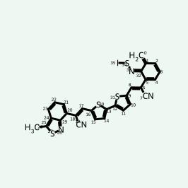 C=C1C=CC=C(/C(C#N)=C/c2ccc(-c3ccc(/C=C(\C#N)c4cccc5c(C)snc45)s3)s2)/C1=N/SI